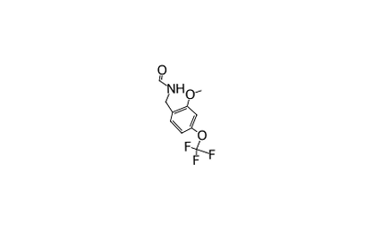 COc1cc(OC(F)(F)F)ccc1CNC=O